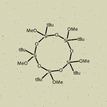 CO[Si]1(C(C)(C)C)O[Si](OC)(C(C)(C)C)O[Si](OC)(C(C)(C)C)O[Si](OC)(C(C)(C)C)O[Si](OC)(C(C)(C)C)O1